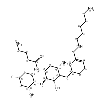 C[C@@H]1CO[C@H](O[C@@H]2[C@@H](O)[C@H](O[C@@H]3CCC=C(CNCCCCCN)O3)[C@@H](N)C[C@H]2NC(=O)CCCN)[C@H](O)C1